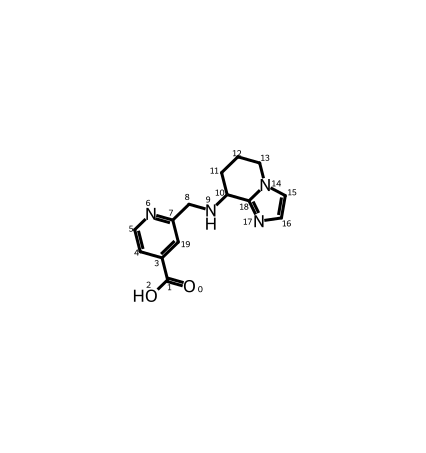 O=C(O)c1ccnc(CNC2CCCn3ccnc32)c1